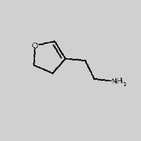 NCCC1=COCC1